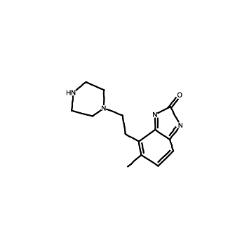 Cc1ccc2c(c1CCN1CCNCC1)=NC(=O)N=2